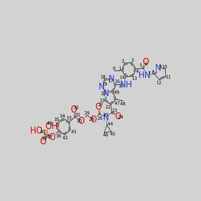 Cc1ccc(C(=O)NC2=NCC=C2)cc1Nc1ncnn2cc(C(=O)N(C(=O)OCOC(=O)c3ccc(OP(=O)(O)O)cc3)C3CC3)c(C)c12